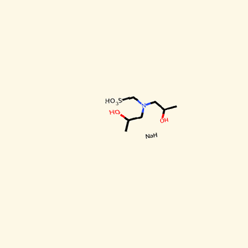 CC(O)CN(CC(C)O)CS(=O)(=O)O.[NaH]